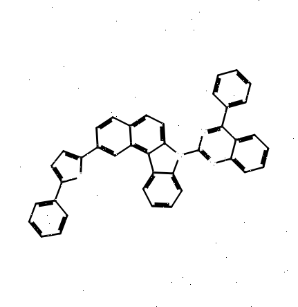 c1ccc(-c2ccc(-c3ccc4ccc5c(c4c3)c3ccccc3n5-c3nc(-c4ccccc4)c4ccccc4n3)s2)cc1